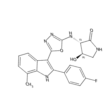 Cc1cccc2c(-c3nnc(N[C@@H]4C(=O)NC[C@H]4O)o3)c(-c3ccc(F)cc3)[nH]c12